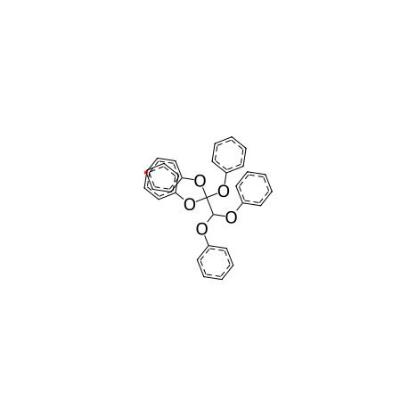 c1ccc(OC(Oc2ccccc2)C(Oc2ccccc2)(Oc2ccccc2)Oc2ccccc2)cc1